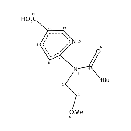 COCCN(C(=O)C(C)(C)C)c1ccc(C(=O)O)cn1